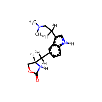 [2H]N1C(=O)OC[C@]1([2H])C([2H])([2H])c1ccc2c(c1)c(C([2H])([2H])CN(C)C)cn2[2H]